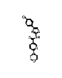 O=C(Nc1nc(-c2ccc(Cl)cc2)cs1)c1ccc(N2CCOCC2)nc1